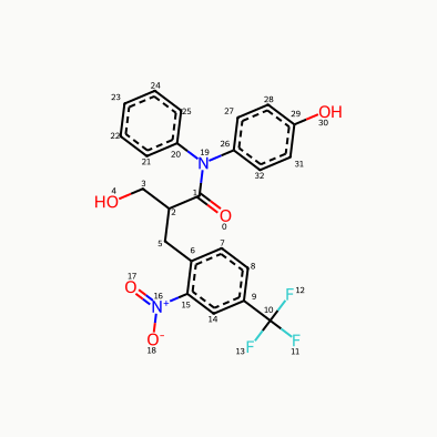 O=C(C(CO)Cc1ccc(C(F)(F)F)cc1[N+](=O)[O-])N(c1ccccc1)c1ccc(O)cc1